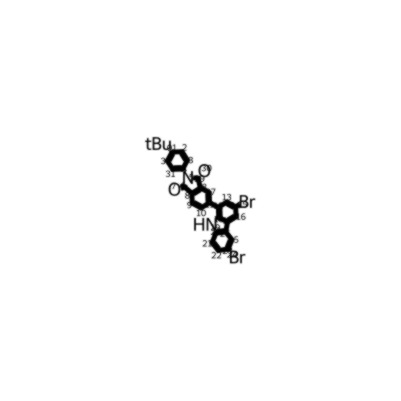 CC(C)(C)c1ccc(N2C(=O)c3ccc(-c4cc(Br)cc5c4[nH]c4ccc(Br)cc45)cc3C2=O)cc1